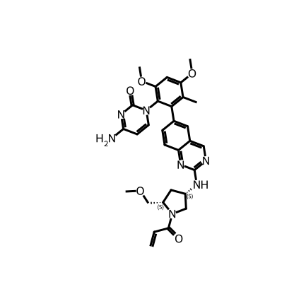 C=CC(=O)N1C[C@@H](Nc2ncc3cc(-c4c(C)c(OC)cc(OC)c4-n4ccc(N)nc4=O)ccc3n2)C[C@H]1COC